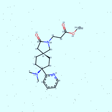 CN(C)[C@]1(c2ccccn2)CC[C@@]2(CC1)CC(=O)N(CCC(=O)OC(C)(C)C)C2